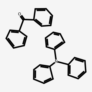 O=C(c1ccccc1)c1ccccc1.c1ccc(N(c2ccccc2)c2ccccc2)cc1